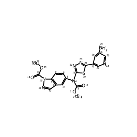 CC(C)(C)OC(=O)N(c1ccc2c(cnn2C(=O)OC(C)(C)C)c1)c1nnc(-c2cncc(N)c2)s1